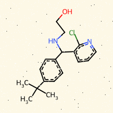 CC(C)(C)c1ccc(C(NCCO)c2cccnc2Cl)cc1